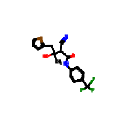 CC(O)(Cc1cccs1)C(C#N)C(=O)Nc1ccc(C(F)(F)F)cc1